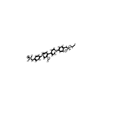 CCOP(C)(=O)Cc1ccc(-[n+]2ccc(-c3cc[n+](-c4ccc(CP(C)(C)=O)cc4)cc3OC)cc2)cc1